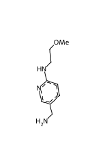 COCCNc1ccc(CN)cn1